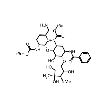 CN[C@H]([C@@H](O)CO[C@@H]1[C@@H](O)[C@H](O[C@H]2OC(CN)=CC[C@H]2NC(=O)OC(C)(C)C)[C@@H](NC(=O)OC(C)(C)C)C[C@H]1NC(=O)c1ccccc1)[C@@](C)(O)CO